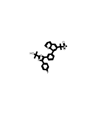 CC(C)(O)c1nc(-c2ccc(F)cc2)c(-c2cccc(-c3cc(C(C)(C)S(C)(=O)=O)cc4cccnc34)c2)s1